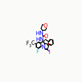 O=C(NC1CCOCC1)N[C@@](Cc1ccccc1)(c1cc(F)cc(C(F)(F)F)c1)c1ccc(I)cn1